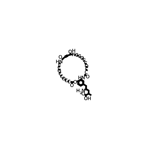 CC(C[C@@H](N)Cc1ccc2c(c1)NC(=O)CCOCCOCCNC(=O)C#CC(=O)NCCOCCOCCC(=O)O2)C(=O)O